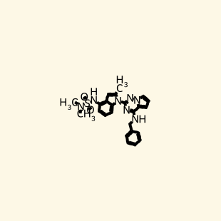 Cc1cc2c(NS(=O)(=O)N(C)C)cccc2n1-c1nc(NCc2ccccc2)c2cccn2n1